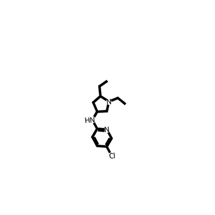 CCC1CC(Nc2ccc(Cl)cn2)CN1CC